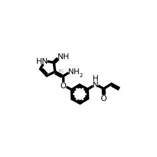 C=CC(=O)Nc1cccc(O/C(N)=C2\C=CNC2=N)c1